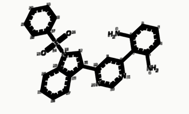 Nc1cccc(N)c1-c1cc(-c2cn(S(=O)(=O)c3ccccc3)c3ccccc23)ncn1